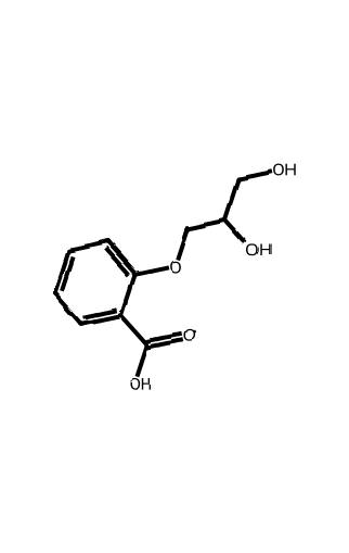 O=C(O)c1ccccc1OCC(O)CO